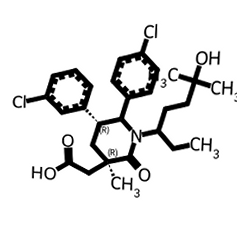 CCC(CCC(C)(C)O)N1C(=O)[C@@](C)(CC(=O)O)C[C@H](c2cccc(Cl)c2)C1c1ccc(Cl)cc1